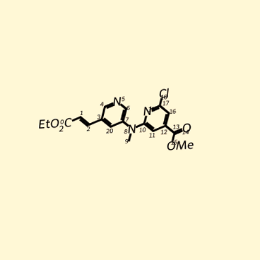 CCOC(=O)/C=C/c1cncc(N(C)c2cc(C(=O)OC)cc(Cl)n2)c1